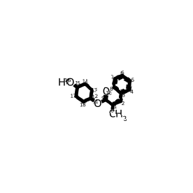 CC(=Cc1ccccc1)C(=O)OC1CCC(O)CC1